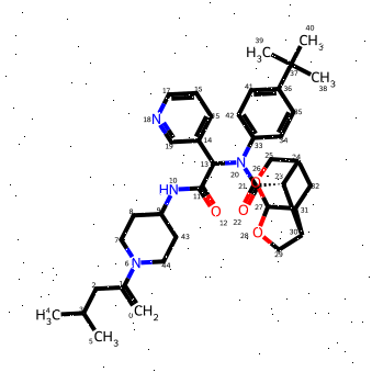 C=C(CC(C)C)N1CCC(NC(=O)C(c2cccnc2)N(C(=O)[C@@H]2C3COC4OCC2C4C3)c2ccc(C(C)(C)C)cc2)CC1